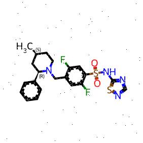 C[C@H]1CCN(Cc2cc(F)c(S(=O)(=O)Nc3ncns3)cc2F)[C@@H](c2ccccc2)C1